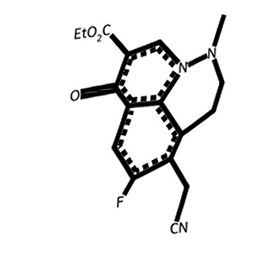 CCOC(=O)c1cn2c3c(c(CC#N)c(F)cc3c1=O)CCN2C